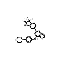 C[C@]1(O)C(=O)Nc2cc(-c3cn4ccnc4c(Nc4ccc(N5CCOCC5)cc4)n3)ccc21